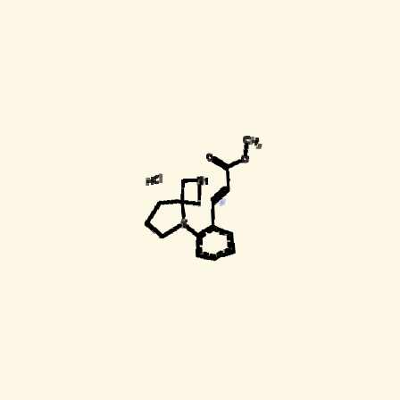 COC(=O)/C=C/c1ccccc1N1CCCC12CNC2.Cl